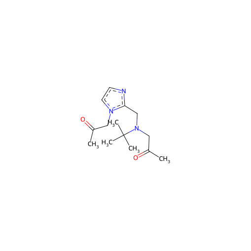 CC(=O)CN(Cc1nccn1CC(C)=O)C(C)(C)C